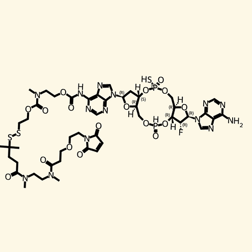 CN(CCN(C)C(=O)CCC(C)(C)SSCCOC(=O)N(C)CCOC(=O)Nc1ncnc2c1ncn2[C@H]1C[C@@H]2O[P@](=O)(S)OC[C@H]3O[C@@H](n4cnc5c(N)ncnc54)[C@H](F)[C@@H]3O[PH](=O)OC[C@H]2O1)C(=O)CCOCCN1C(=O)C=CC1=O